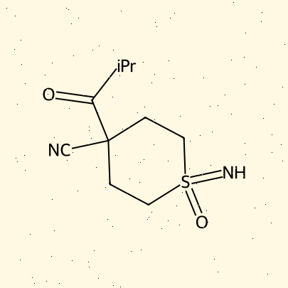 CC(C)C(=O)C1(C#N)CCS(=N)(=O)CC1